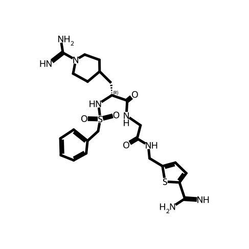 N=C(N)c1ccc(CNC(=O)CNC(=O)[C@@H](CC2CCN(C(=N)N)CC2)NS(=O)(=O)Cc2ccccc2)s1